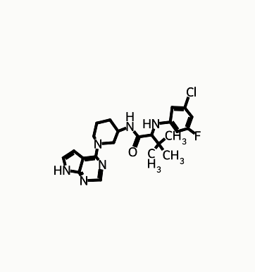 CC(C)(C)C(Nc1cc(F)cc(Cl)c1)C(=O)NC1CCCN(c2ncnc3[nH]ccc23)C1